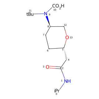 CC(C)NC(=O)C[C@@H]1CC[C@@H](N(C(=O)O)C(C)(C)C)CO1